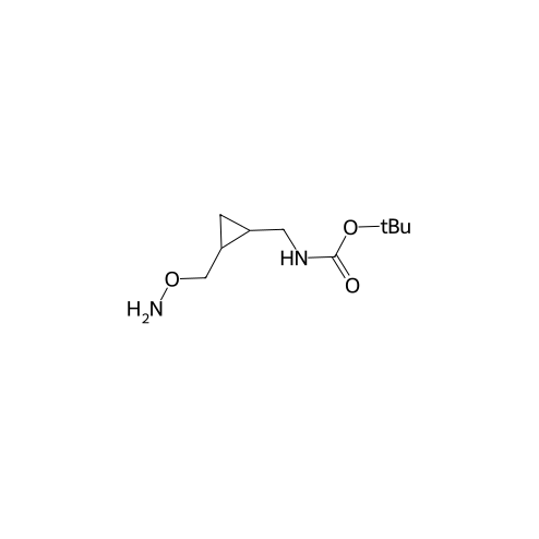 CC(C)(C)OC(=O)NCC1CC1CON